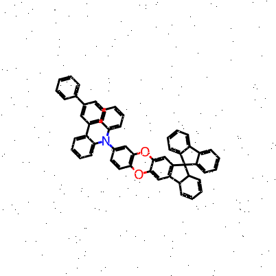 C1=CC2c3cc4c(cc3C3(c5ccccc5-c5ccccc53)C2C=C1)Oc1cc(N(c2ccccc2)c2ccccc2-c2cccc(-c3ccccc3)c2)ccc1O4